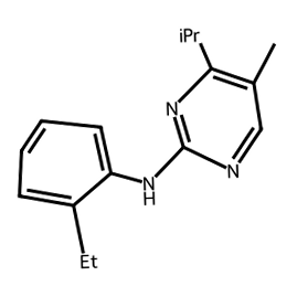 CCc1ccccc1Nc1ncc(C)c(C(C)C)n1